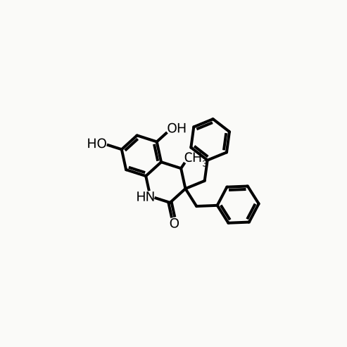 CC1c2c(O)cc(O)cc2NC(=O)C1(Cc1ccccc1)Cc1ccccc1